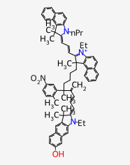 C=C(C=CC=C1N(CC)c2cc3cc(O)ccc3cc2C1(C)C)C(C)(CCCCC1(C)C(C=CC=C2N(CCC)c3ccc4ccccc4c3C2(C)C)=[N+](CC)c2ccc3ccccc3c21)c1cc([N+](=O)[O-])ccc1C